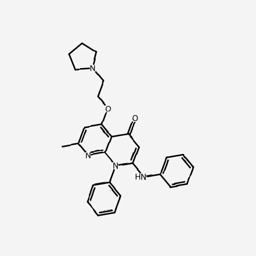 Cc1cc(OCCN2CCCC2)c2c(=O)cc(Nc3ccccc3)n(-c3ccccc3)c2n1